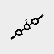 N#Cc1ccc(-c2ccc(-c3ccc(C#N)cc3)c(Cl)c2)cc1